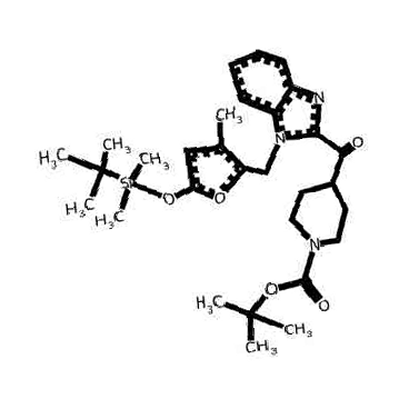 Cc1cc(O[Si](C)(C)C(C)(C)C)oc1Cn1c(C(=O)C2CCN(C(=O)OC(C)(C)C)CC2)nc2ccccc21